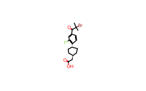 CC(C)(Br)C(=O)c1ccc([C@H]2CC[C@H](CC(=O)O)CC2)c(F)c1